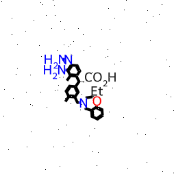 CCC1CN(Cc2cc([C@@H](CC(=O)O)c3ccc(N(C)N)c(N)c3C)ccc2C)Cc2ccccc2O1